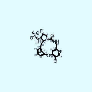 CS(=O)(=O)N[C@H]1[C@@H](F)CN2C(=O)NCc3cc(c(Cl)cn3)Oc3cccc(c3F)C[C@@H]12